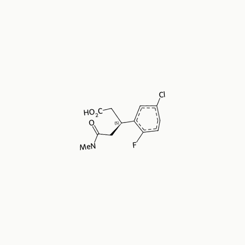 CNC(=O)C[C@@H](CC(=O)O)c1cc(Cl)ccc1F